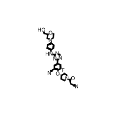 N#CCC(=O)N1CC[C@H](Oc2ccc(-c3ncnc(Nc4ccc(N5CCOC(CO)C5)cc4)n3)cc2C#N)[C@H](F)C1